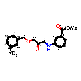 COC(=O)c1cccc(NCC(=O)COCc2cccc([N+](=O)[O-])c2)c1